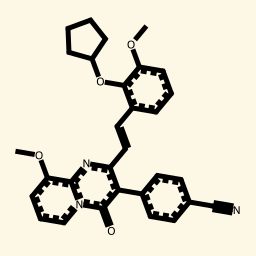 COc1cccc(C=Cc2nc3c(OC)cccn3c(=O)c2-c2ccc(C#N)cc2)c1OC1CCCC1